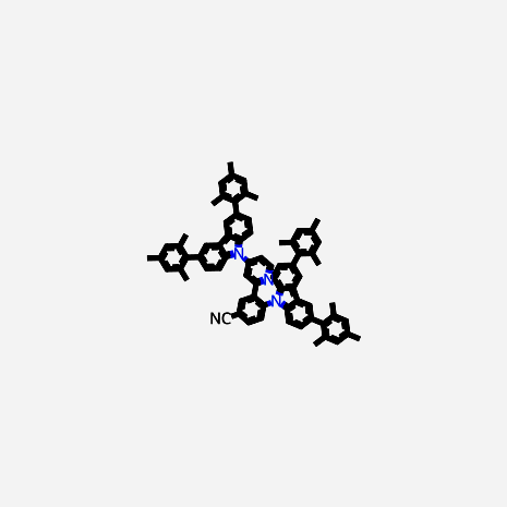 Cc1cc(C)c(-c2ccc3c(c2)c2cc(-c4c(C)cc(C)cc4C)ccc2n3-c2ccnc(-c3cc(C#N)ccc3-n3c4ccc(-c5c(C)cc(C)cc5C)cc4c4cc(-c5c(C)cc(C)cc5C)ccc43)c2)c(C)c1